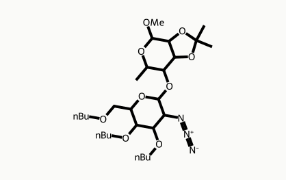 CCCCOCC1OC(OC2C(C)OC(OC)C3OC(C)(C)OC23)C(N=[N+]=[N-])C(OCCCC)C1OCCCC